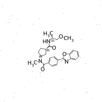 COC[C@H](C)NC(=O)[C@@H]1CC[C@@H](N(C)C(=O)c2ccc(-c3nc4ccccc4o3)cc2)C1